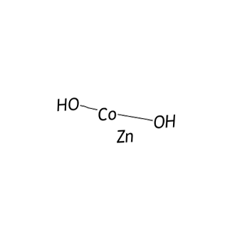 [OH][Co][OH].[Zn]